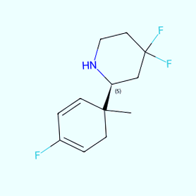 CC1([C@@H]2CC(F)(F)CCN2)C=CC(F)=CC1